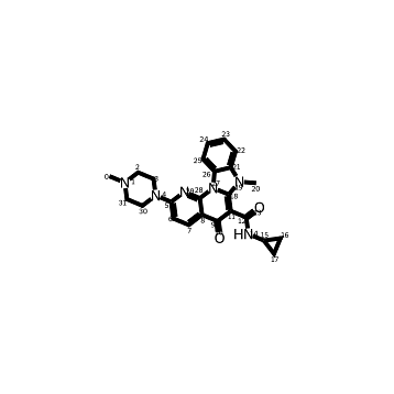 CN1CCN(c2ccc3c(=O)c(C(=O)NC4CC4)c4n(C)c5ccccc5n4c3n2)CC1